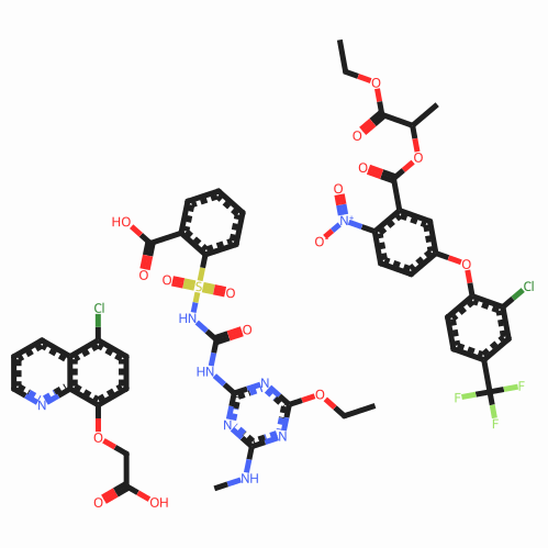 CCOC(=O)C(C)OC(=O)c1cc(Oc2ccc(C(F)(F)F)cc2Cl)ccc1[N+](=O)[O-].CCOc1nc(NC)nc(NC(=O)NS(=O)(=O)c2ccccc2C(=O)O)n1.O=C(O)COc1ccc(Cl)c2cccnc12